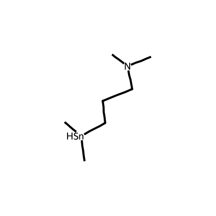 CN(C)CC[CH2][SnH]([CH3])[CH3]